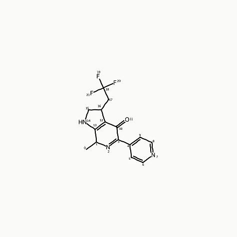 CC1N=C(c2ccncc2)C(=O)C2=C1NCC2CC(F)(F)F